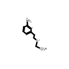 O=C(O)COCCc1cccc([N+](=O)[O-])c1